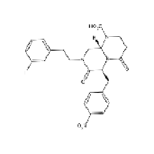 O=C1[C@H](Cc2ccc([N+](=O)[O-])cc2)N2C(=O)CCN(C(=O)O)[C@H]2CN1CCc1cccc(F)c1